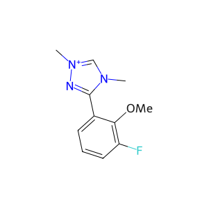 COc1c(F)cccc1-c1n[n+](C)cn1C